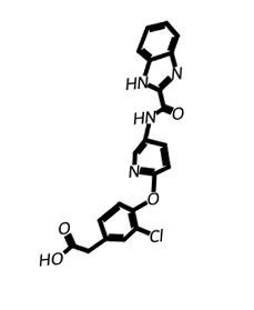 O=C(O)Cc1ccc(Oc2ccc(NC(=O)c3nc4ccccc4[nH]3)cn2)c(Cl)c1